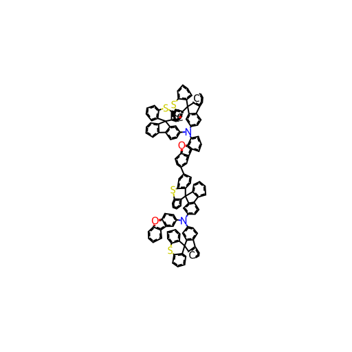 c1ccc2c(c1)Sc1ccccc1C21c2ccccc2-c2ccc(N(c3ccc4c(c3)C3(c5ccccc5Sc5cc(-c6ccc7oc8c(N(c9ccc%10c(c9)C9(c%11ccccc%11Sc%11ccccc%119)c9ccccc9-%10)c9ccc%10c(c9)C9(c%11ccccc%11Sc%11ccccc%119)c9ccccc9-%10)cccc8c7c6)ccc53)c3ccccc3-4)c3ccc4oc5ccccc5c4c3)cc21